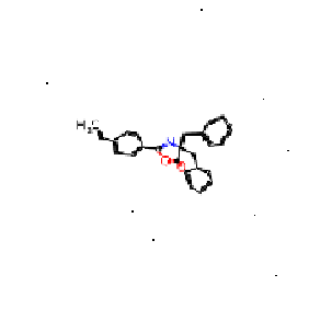 C=Cc1ccc(C2=NC(Cc3ccccc3)(Cc3ccccc3)C(=O)O2)cc1